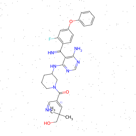 CC(C)(/C=C(\C=N)C(=O)N1CCCC(Nc2ncnc(N)c2C(=N)c2ccc(Oc3ccccc3)cc2F)C1)CO